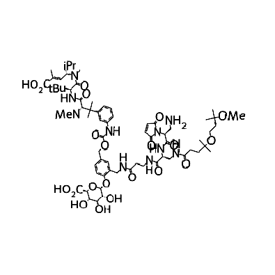 CN[C@H](C(=O)N[C@H](C(=O)N(C)[C@H](/C=C(\C)C(=O)O)C(C)C)C(C)(C)C)C(C)(C)c1cccc(NC(=O)OCc2ccc(O[C@@H]3O[C@H](C(=O)O)[C@@H](O)[C@H](O)[C@H]3O)c(CNC(=O)CCNC(=O)[C@H](CNC(=O)CCC(C)(C)OCCC(C)(C)OC)NC(=O)[C@H](CN)N3C(=O)C=CC3=O)c2)c1